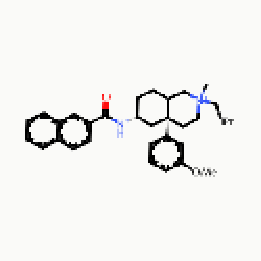 COc1cccc([C@]23CC[N@@+](C)(CC(C)C)CC2CC[C@@H](NC(=O)c2ccc4ccccc4c2)C3)c1